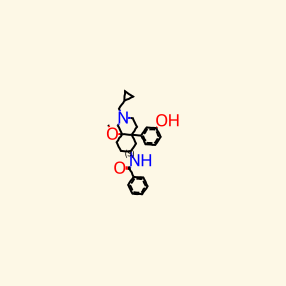 COC12CC[C@H](NC(=O)c3ccccc3)CC1(c1cccc(O)c1)CCN(CC1CC1)C2